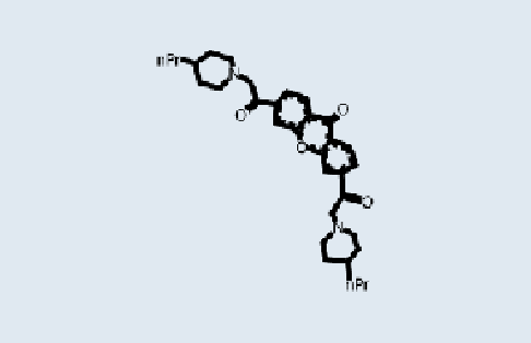 CCCC1CCN(CC(=O)c2ccc3c(=O)c4ccc(C(=O)CN5CCC(CCC)CC5)cc4oc3c2)CC1